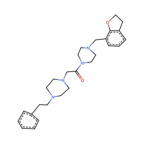 O=C(CN1CCN(CCc2ccccc2)CC1)N1CCN(Cc2cccc3c2OCC3)CC1